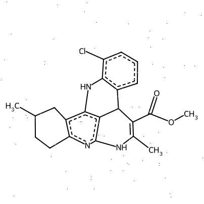 COC(=O)C1=C(C)Nc2nc3c(c4c2C1c1cccc(Cl)c1N4)CC(C)CC3